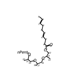 C/C=C/CC/C=C/CCC(=O)OCC(C)OCC(C)OCC(C)OCCCCC